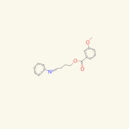 COc1cccc(C(=O)OCCCC=Nc2ccccc2)c1